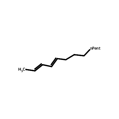 CC=CC=CCCCCCCCC